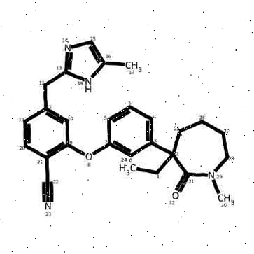 CCC1(c2cccc(Oc3cc(Cc4ncc(C)[nH]4)ccc3C#N)c2)CCCCN(C)C1=O